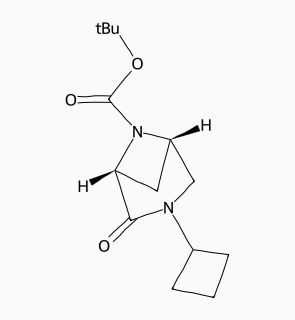 CC(C)(C)OC(=O)N1[C@H]2C[C@@H]1C(=O)N(C1CCC1)C2